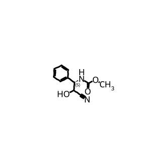 COC(=O)N[C@@H](c1ccccc1)C(O)C#N